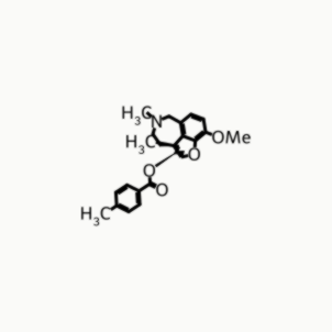 COc1ccc2c3c1OC1C[C@@H](OC(=O)c4ccc(C)cc4)C(C)[C@@]31CCN(C)C2